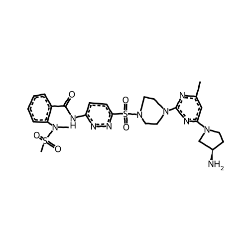 Cc1cc(N2CC[C@@H](N)C2)nc(N2CCN(S(=O)(=O)c3ccc(NC(=O)c4ccccc4N(C)S(C)(=O)=O)nn3)CC2)n1